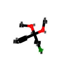 C#C[C](OCC)(OCC)[Mg][Br]